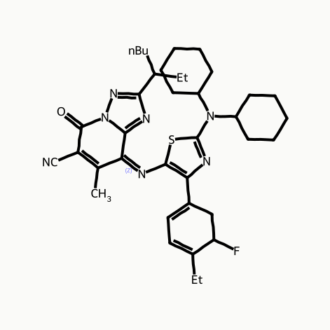 CCCCC(CC)c1nc2n(n1)C(=O)C(C#N)=C(C)/C2=N/c1sc(N(C2CCCCC2)C2CCCCC2)nc1C1=CC=C(CC)C(F)C1